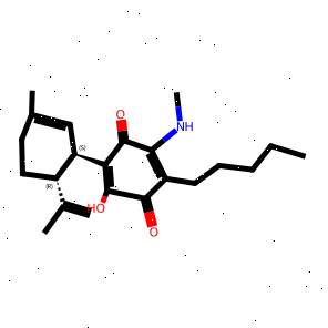 C=C(C)[C@@H]1CCC(C)=C[C@H]1C1=C(O)C(=O)C(CCCCC)=C(NC)C1=O